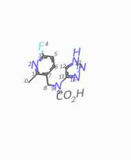 Cc1nc(F)ccc1CN(C(=O)O)c1c[nH]nn1